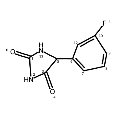 O=C1NC(=O)C(c2cccc(F)c2)N1